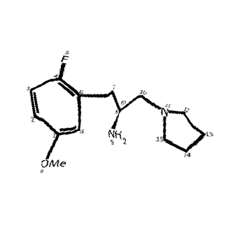 COc1ccc(F)c(C[C@H](N)CN2CCCC2)c1